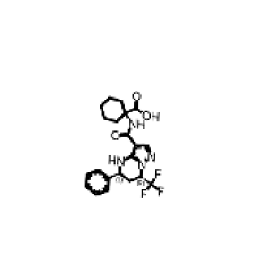 O=C(NC1(C(=O)O)CCCCC1)c1cnn2c1N[C@H](c1ccccc1)C[C@@H]2C(F)(F)F